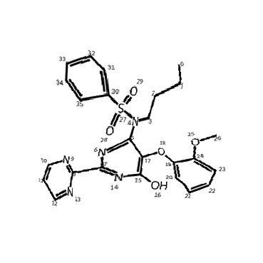 CCCCN(c1nc(-c2ncccn2)nc(O)c1Oc1ccccc1OC)S(=O)(=O)c1ccccc1